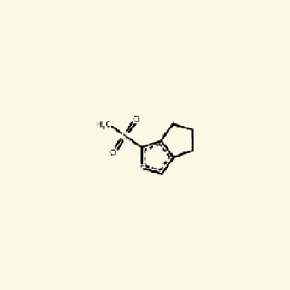 CS(=O)(=O)c1scc2c1CCC2